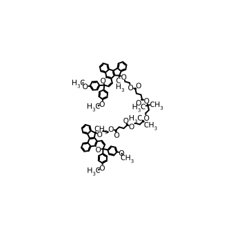 COc1ccc(C2(c3ccc(OC)cc3)C=Cc3c4c(c5ccccc5c3O2)-c2ccccc2C4(C)OCCOC(=O)CCC(=O)OCCC(C)(C)OCCC(C)(C)OC(=O)CCC(=O)OCCOC2(C)c3ccccc3-c3c2c2c(c4ccccc34)OC(c3ccc(OC)cc3)(c3ccc(OC)cc3)C=C2)cc1